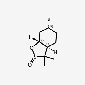 C[C@@H]1CC[C@@H]2[C@@H](C1)OS(=O)C2(C)C